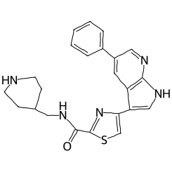 O=C(NCC1CCNCC1)c1nc(-c2c[nH]c3ncc(-c4ccccc4)cc23)cs1